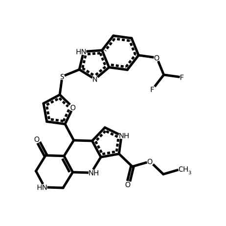 CCOC(=O)c1[nH]cc2c1NC1=C(C(=O)CNC1)C2c1ccc(Sc2nc3cc(OC(F)F)ccc3[nH]2)o1